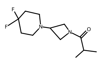 CC(C)C(=O)N1CC(N2CCC(F)(F)CC2)C1